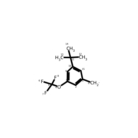 [CH2]c1cc(OC(F)(F)F)cc(C(C)(C)C)c1